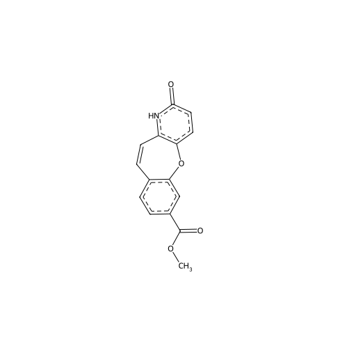 COC(=O)c1ccc2c(c1)Oc1ccc(=O)[nH]c1C=C2